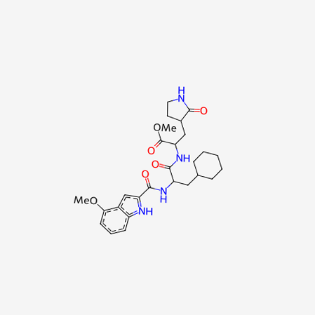 COC(=O)C(CC1CCNC1=O)NC(=O)C(CC1CCCCC1)NC(=O)c1cc2c(OC)cccc2[nH]1